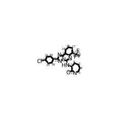 O=c1nccccc1Nc1nc2c(C(F)(F)F)cccc2c2nc(-c3ccc(Cl)cc3)nn12